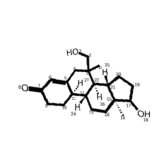 CC1(CO)CC2=CC(=O)CC[C@@H]2[C@H]2CC[C@]3(C)C(O)CC[C@H]3[C@@H]21